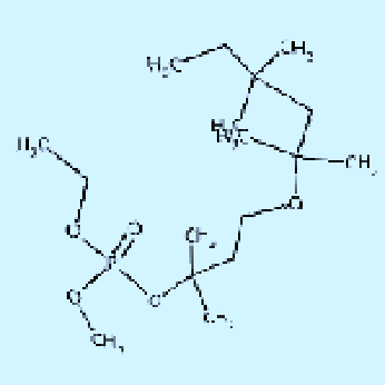 CCOP(=O)(OC)OC(C)(C)CCOC(C)(C)CC(C)(C)CC